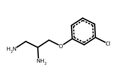 NCC(N)COc1cccc(Cl)c1